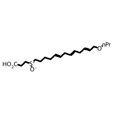 CCCOCC=CCC=CCC=CCCCC[S+]([O-])CCC(=O)O